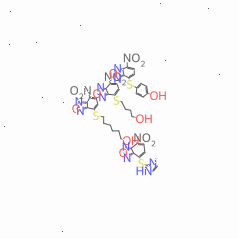 O=[N+]([O-])c1ccc(SCCCCCCO)c2nonc12.O=[N+]([O-])c1ccc(SCCCCO)c2nonc12.O=[N+]([O-])c1ccc(Sc2ccc(O)cc2)c2nonc12.O=[N+]([O-])c1ccc(Sc2ncc[nH]2)c2nonc12